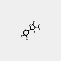 CC(C)N1C(=O)O[C@H](c2ccc(F)c(Cl)c2)[C@@H]1C